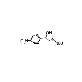 CC(C)(C)NC[C@H](O)c1ccc([N+](=O)[O-])cc1